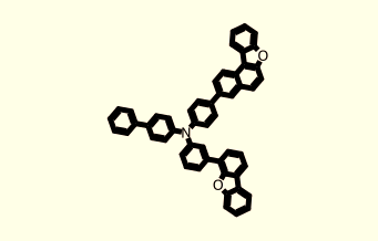 c1ccc(-c2ccc(N(c3ccc(-c4ccc5c(ccc6oc7ccccc7c65)c4)cc3)c3cccc(-c4cccc5c4oc4ccccc45)c3)cc2)cc1